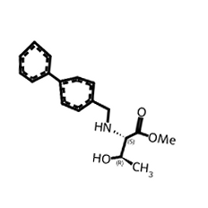 COC(=O)[C@@H](NCc1ccc(-c2ccccc2)cc1)[C@@H](C)O